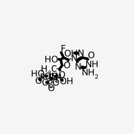 C[C@@H](OP(=O)(O)OP(=O)(O)OP(=O)(O)O)[C@H]1O[C@@H](n2cnc3c(=O)[nH]c(N)nc32)[C@@](O)(CF)C1O